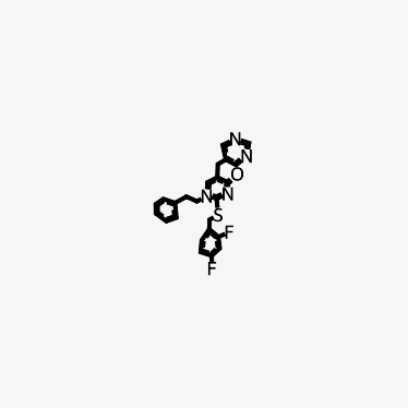 O=c1nc(SCc2ccc(F)cc2F)n(CCc2ccccc2)cc1Cc1cncnc1